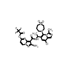 Cc1ncc2c(Cl)cc(C(C)NC(=O)c3c(N)nn4ccc(OC(=O)C(F)(F)F)nc34)c(N3CCCS(=O)(=O)CC3)n12